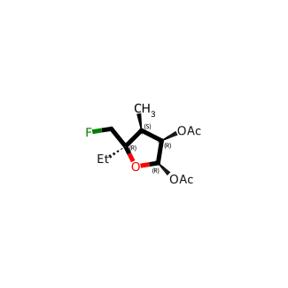 CC[C@@]1(CF)O[C@H](OC(C)=O)[C@H](OC(C)=O)[C@@H]1C